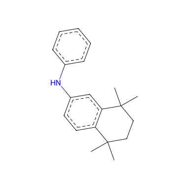 CC1(C)CCC(C)(C)c2cc(Nc3ccccc3)ccc21